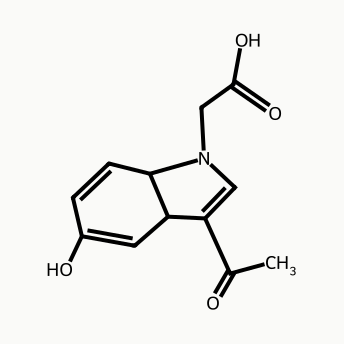 CC(=O)C1=CN(CC(=O)O)C2C=CC(O)=CC12